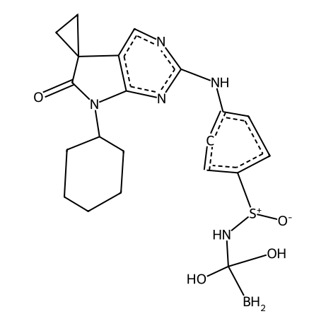 BC(O)(O)N[S+]([O-])c1ccc(Nc2ncc3c(n2)N(C2CCCCC2)C(=O)C32CC2)cc1